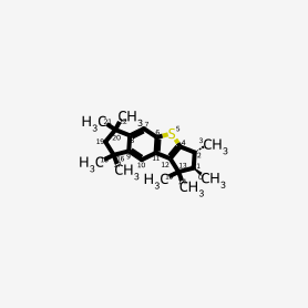 C[C@@H]1[C@@H](C)c2sc3cc4c(cc3c2C1(C)C)C(C)(C)CC4(C)C